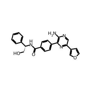 Nc1ncc(-c2ccoc2)nc1-c1ccc(C(=O)N[C@H](CO)c2ccccc2)cc1